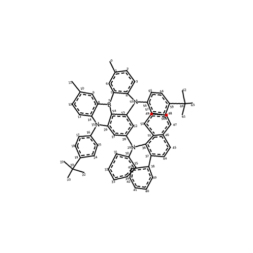 Cc1ccc2c(c1)B1c3cc(C)ccc3N(c3ccc(C(C)(C)C)cc3)c3cc(N(c4ccccc4)c4c(-c5ccccc5)ccc5ccccc45)cc(c31)N2c1ccc(C(C)(C)C)cc1